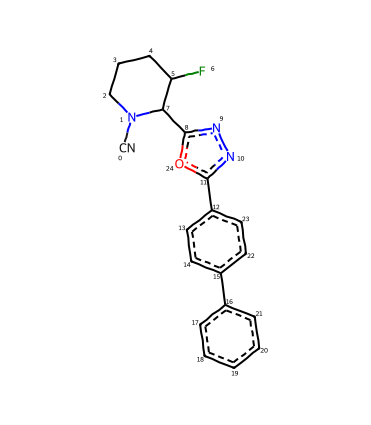 N#CN1CCCC(F)C1c1nnc(-c2ccc(-c3ccccc3)cc2)o1